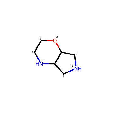 C1COC2CNCC2N1